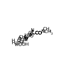 CCN(CC)c1ccc2cc(/C=C(\C#N)S(=O)(=O)NCc3cn(C[C@H]4O[C@H](OC)C(C)(C)[C@@H](O)[C@@H]4O)nn3)ccc2c1